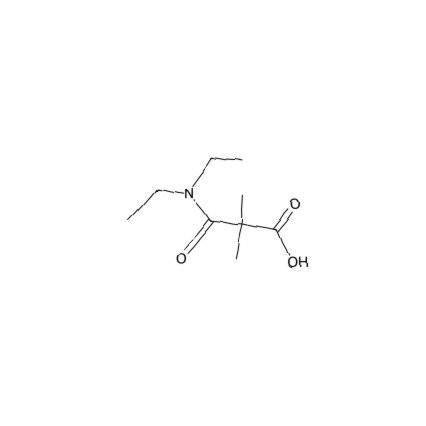 CCN(CC)C(=O)C(C)(C)C(=O)O